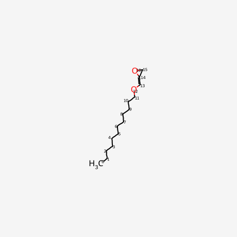 CCCCCCCCCCCCOC=C1CO1